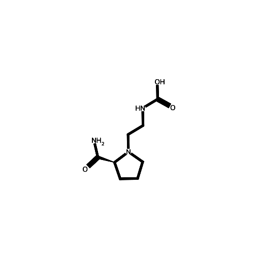 NC(=O)[C@@H]1CCCN1CCNC(=O)O